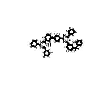 CC1(C)c2ccccc2Sc2c(-c3nc(-c4ccccc4)nc(-c4ccc(-c5cccc(C6N=C(c7ccccc7)N=C(c7ccccc7)N6)c5)cc4)n3)cccc21